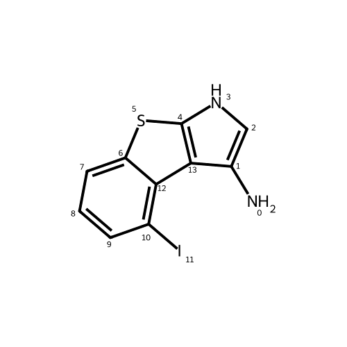 Nc1c[nH]c2sc3cccc(I)c3c12